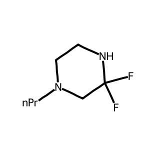 CCCN1CCNC(F)(F)C1